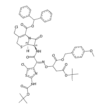 COc1ccc(COC(=O)C(CC(=O)OC(C)(C)C)ON=C(C(=O)N[C@@H]2C(=O)N3C(C(=O)OC(c4ccccc4)c4ccccc4)=C(CCl)CS[C@H]23)c2nc(NC(=O)OC(C)(C)C)sc2Cl)cc1